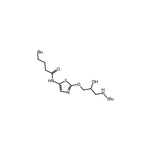 CCC(C)CCCC(=O)Nc1cnc(OCC(O)CNC(C)(C)C)s1